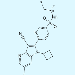 Cc1cnc2c(C#N)c(-c3ccc(S(=O)(=O)N[C@@H](C)CF)cn3)n(C3CCC3)c2c1